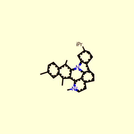 Cc1ccc2c(C)c3c(c(C)c2c1)c1c2c(ccc4c5ccc(C(C)C)cc5n3c42)cc[n+]1C